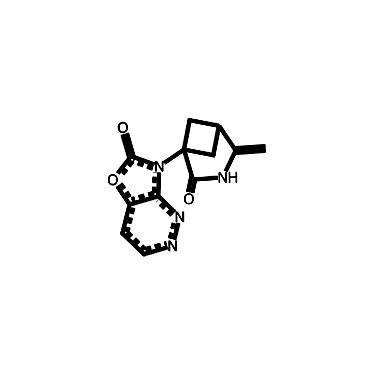 C=C1NC(=O)C2(n3c(=O)oc4ccnnc43)CC1C2